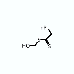 CCCCC(=S)SCO